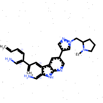 C=C/C=C\C(=C/N)C(=C)/C=c1\c(=C/N)[nH]c2ncc(-c3cnn(CC4CCCN4CC)c3)cc12